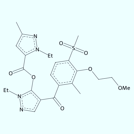 CCn1nc(C)cc1C(=O)Oc1c(C(=O)c2ccc(S(C)(=O)=O)c(OCCOC)c2C)cnn1CC